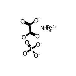 O=C([O-])C(=O)[O-].O=P([O-])([O-])[O-].[Fe+4].[NH4+]